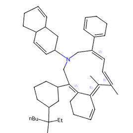 CCCCC(C)(CC)C1CCCC(\C2=C3/CCC=C/C3=C(C)\C(C)=C\C=C(\C3=CCCC=C3)CN(C3C=CC4CCC=CC4C3)C2)C1